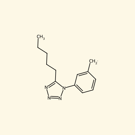 [CH2]c1cccc(-n2nnnc2CCCCC)c1